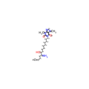 CCCCCCCCCCCCC(N)C(O)CCCCCCCCCn1c(=O)c2c(ncn2C)n(C)c1=O